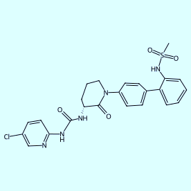 CS(=O)(=O)Nc1ccccc1-c1ccc(N2CCC[C@@H](NC(=O)Nc3ccc(Cl)cn3)C2=O)cc1